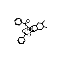 CC1CC2C(CC1C)C1NC2C(OC(=O)c2ccccc2)C1OC(=O)c1ccccc1